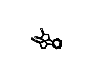 [N-]=[N+]=C1CCC(c2ccccc2)C12C(=O)C(=O)CC2c1ccccc1